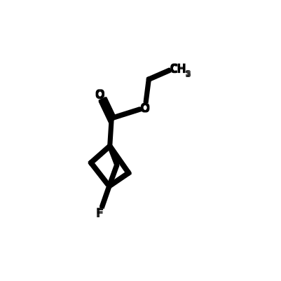 CCOC(=O)C12CC(F)(C1)C2